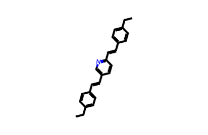 CCc1ccc(/C=C/c2ccc(/C=C/c3ccc(CC)cc3)nc2)cc1